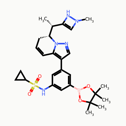 C[C@H](c1cn(C)[nH]1)[C@H]1CC=Cc2c(-c3cc(NS(=O)(=O)C4CC4)cc(B4OC(C)(C)C(C)(C)O4)c3)cnn21